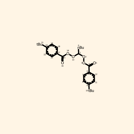 [CH2]CCC[C](OOC(=O)c1ccc(C(C)(C)C)cc1)OOC(=O)c1ccc(C(C)(C)C)cc1